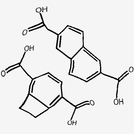 O=C(O)c1ccc(C(=O)O)c2c1CC2.O=C(O)c1ccc2cc(C(=O)O)ccc2c1